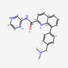 CN(C)Cc1ccc(-c2cccc3ccc(C(=O)Nc4cnccn4)nc23)cc1